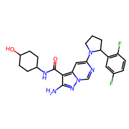 Nc1nn2cnc(N3CCCC3c3cc(F)ccc3F)cc2c1C(=O)NC1CCC(O)CC1